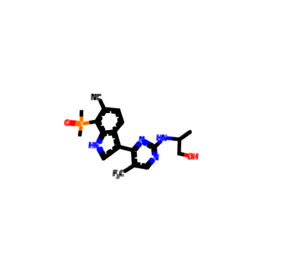 CC(CO)Nc1ncc(C(F)(F)F)c(-c2c[nH]c3c(P(C)(C)=O)c(C#N)ccc23)n1